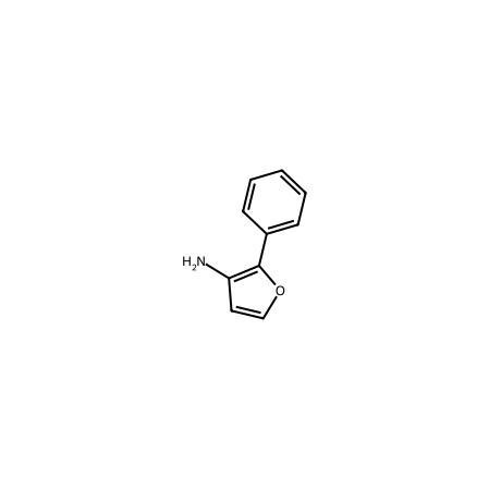 Nc1ccoc1-c1ccccc1